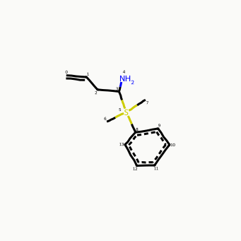 C=CCC(N)S(C)(C)c1ccccc1